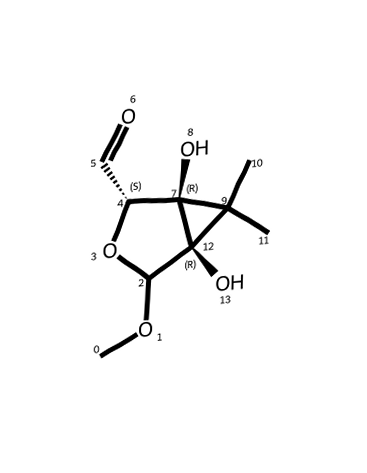 COC1O[C@H](C=O)[C@]2(O)C(C)(C)[C@]12O